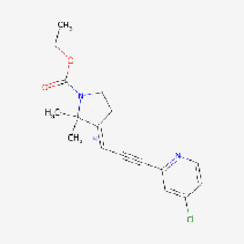 CCOC(=O)N1CC/C(=C\C#Cc2cc(Cl)ccn2)C1(C)C